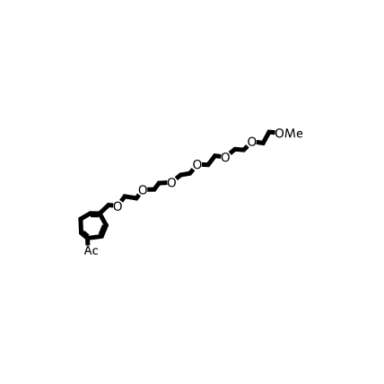 COCCOCCOCCOCCOCCOCCOCC1=CCC=C(C(C)=O)C=C1